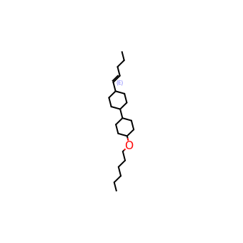 CCC/C=C/C1CCC(C2CCC(OCCCCCC)CC2)CC1